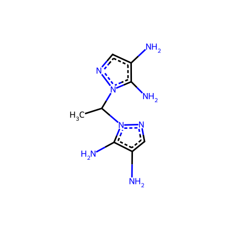 CC(n1ncc(N)c1N)n1ncc(N)c1N